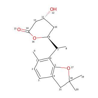 Cc1ccc2c(c1C(C)[C@@H]1C[C@@H](O)CC(=O)O1)OC(C)(C)C2